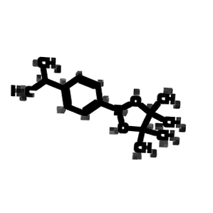 CC(C)c1ccc(B2OC(C)(C)C(C)(C)O2)cc1